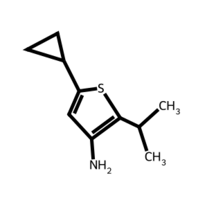 CC(C)c1sc(C2CC2)cc1N